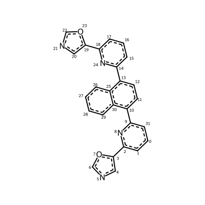 c1cc(-c2cnco2)nc(-c2ccc(-c3cccc(-c4cnco4)n3)c3ccccc23)c1